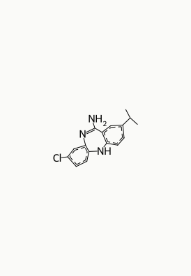 CC(C)c1ccc2c(c1)C(N)=Nc1cc(Cl)ccc1N2